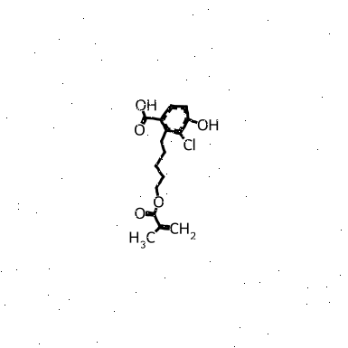 C=C(C)C(=O)OCCCCCc1c(C(=O)O)ccc(O)c1Cl